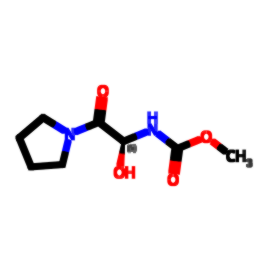 COC(=O)N[C@@H](O)C(=O)N1CCCC1